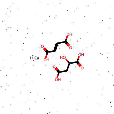 O=C(O)C=CC(=O)O.O=C(O)CC(O)C(=O)O.[CaH2]